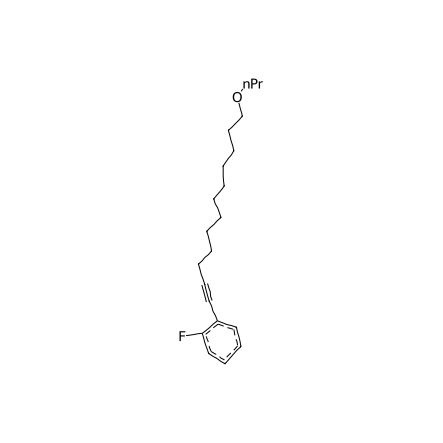 CCCOCCCCCCCCCCC#Cc1ccccc1F